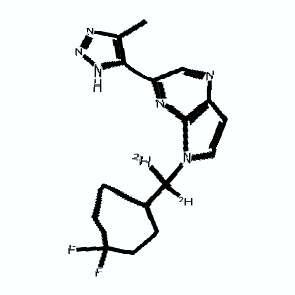 [2H]C([2H])(C1CCC(F)(F)CC1)n1ccc2ncc(-c3[nH]nnc3C)nc21